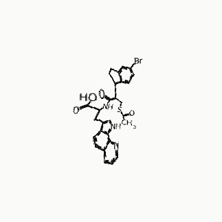 CC(=O)SCC(C(=O)NC(Cc1c[nH]c2c1ccc1cccnc12)C(=O)O)C1CCc2cc(Br)ccc21